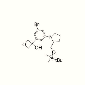 CC(C)(C)[Si](C)(C)OCC1CCCN1c1cc(Br)cc(C2(O)COC2)c1